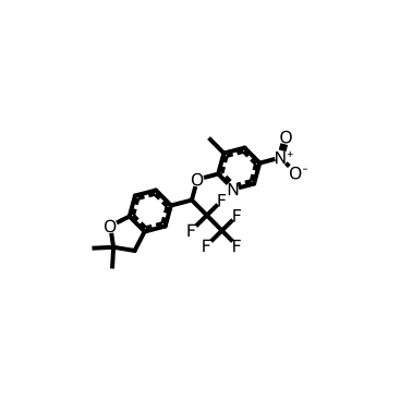 Cc1cc([N+](=O)[O-])cnc1OC(c1ccc2c(c1)CC(C)(C)O2)C(F)(F)C(F)(F)F